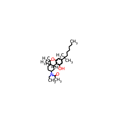 CCCCCCC(C)(C)c1cc(O)c2c(c1)OC(C)(C)[C@@H]1CCC(N(CC)C(C)=O)C[C@@H]21